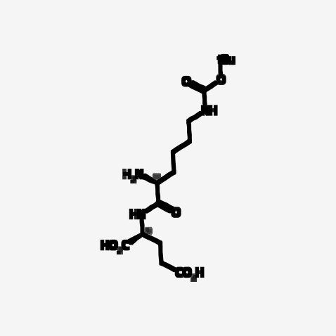 CC(C)(C)OC(=O)NCCCC[C@H](N)C(=O)N[C@@H](CCC(=O)O)C(=O)O